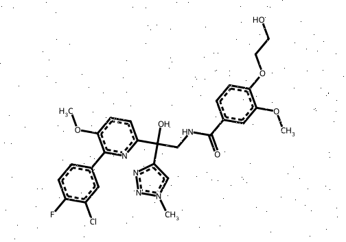 COc1cc(C(=O)NCC(O)(c2cn(C)nn2)c2ccc(OC)c(-c3ccc(F)c(Cl)c3)n2)ccc1OCCO